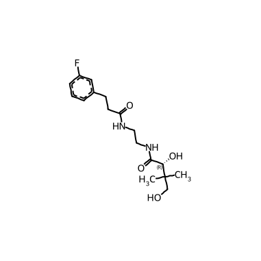 CC(C)(CO)[C@@H](O)C(=O)NCCNC(=O)CCc1cccc(F)c1